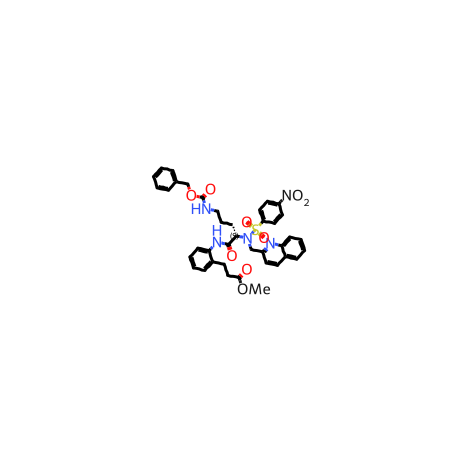 COC(=O)CCc1ccccc1NC(=O)[C@H](CCCNC(=O)OCc1ccccc1)N(Cc1ccc2ccccc2n1)S(=O)(=O)c1ccc([N+](=O)[O-])cc1